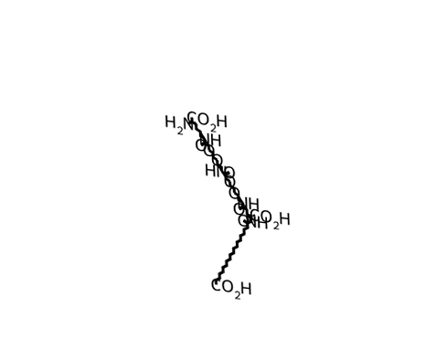 NC(CCCCNC(=O)COCCOCCNC(=O)COCCOCCNC(=O)CC[C@H](NC(=O)CCCCCCCCCCCCCCCCCCC(=O)O)C(=O)O)C(=O)O